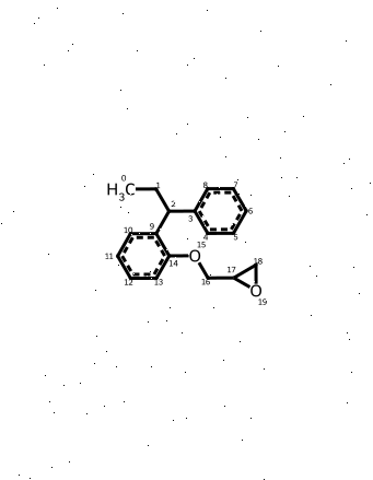 CCC(c1ccccc1)c1ccccc1OCC1CO1